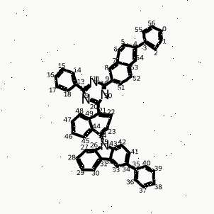 c1ccc(-c2ccc3cc(-c4nc(-c5ccccc5)nc(-c5ccc(-n6c7ccccc7c7cc(-c8ccccc8)ccc76)c6ccccc56)n4)ccc3c2)cc1